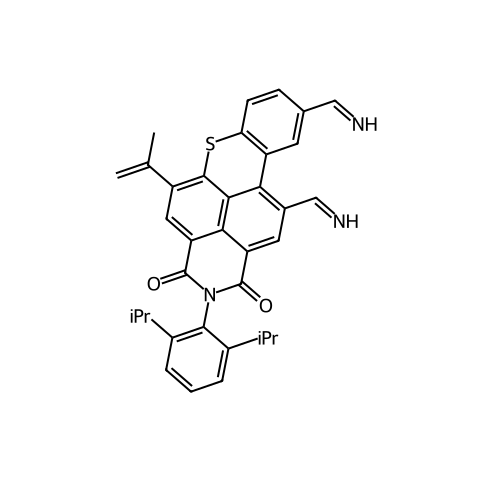 C=C(C)c1cc2c(=O)n(-c3c(C(C)C)cccc3C(C)C)c(=O)c3cc(C=N)c4c5cc(C=N)ccc5sc1c4c23